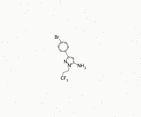 Nc1cc(-c2ccc(Br)cc2)nn1CCC(F)(F)F